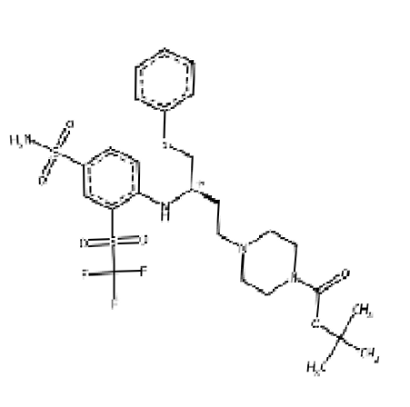 CC(C)(C)OC(=O)N1CCN(CC[C@H](CSc2ccccc2)Nc2ccc(S(N)(=O)=O)cc2S(=O)(=O)C(F)(F)F)CC1